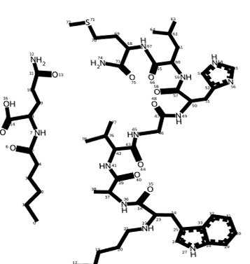 CCCCCC(=O)NC(CCC(N)=O)C(=O)O.CCCCCNC(Cc1c[nH]c2ccccc12)C(=O)NC(C)C(=O)NC(C(=O)NCC(=O)NC(Cc1c[nH]cn1)C(=O)NC(CC(C)C)C(=O)NC(CCSC)C(N)=O)C(C)C